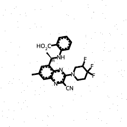 Cc1cc([C@@H](C)Nc2ccccc2C(=O)O)c2nc(N3CCC(F)(F)C(F)C3)c(C#N)nc2c1